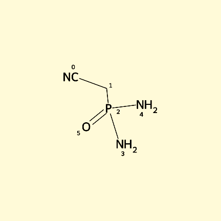 N#CCP(N)(N)=O